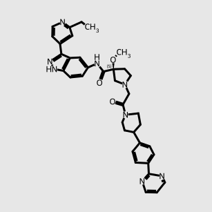 CCc1cc(-c2n[nH]c3ccc(NC(=O)[C@]4(OC)CCN(CC(=O)N5CCC(c6ccc(-c7ncccn7)cc6)CC5)C4)cc23)ccn1